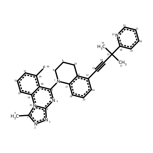 Cc1nnc2nc(N3CCCc4c(C#CC(C)(C)c5ccccn5)cccc43)c3c(F)cccc3n12